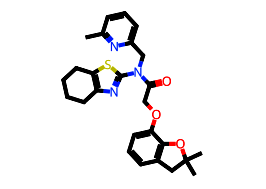 Cc1cccc(CN(C(=O)COc2cccc3c2OC(C)(C)C3)c2nc3c(s2)CCCC3)n1